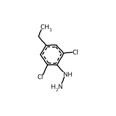 CCc1cc(Cl)c(NN)c(Cl)c1